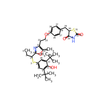 CCC(Sc1cc(C(C)(C)C)c(O)c(C(C)(C)C)c1)c1nc(CCOc2ccc(CC3SC(=O)NC3=O)cc2)c(C)o1